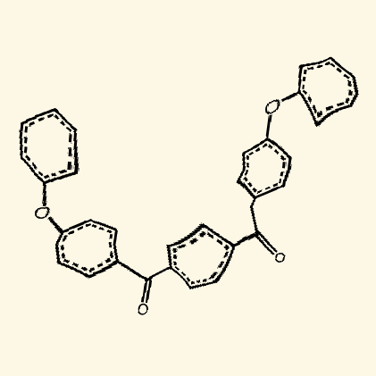 O=C(c1ccc(Oc2ccccc2)cc1)c1ccc(C(=O)c2ccc(Oc3ccccc3)cc2)cc1